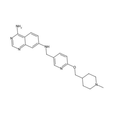 CN1CCC(COc2ccc(CNc3ccc4c(N)ncnc4c3)cn2)CC1